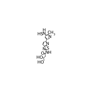 Cc1ncc(-c2ccc3nc(NC(=O)C[C@H](O)CO)sc3n2)cc1NS